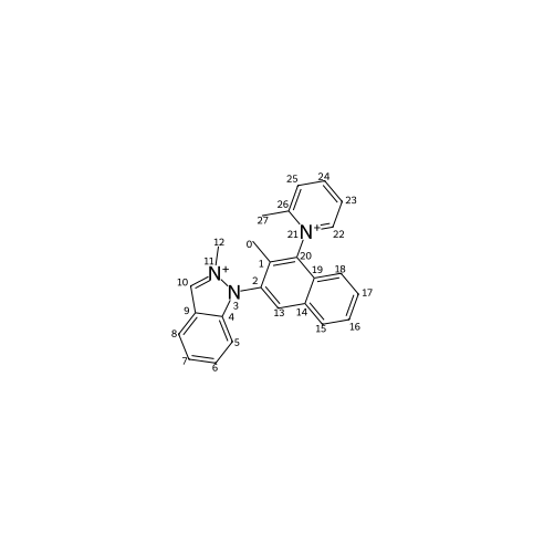 Cc1c(-n2c3ccccc3c[n+]2C)cc2ccccc2c1-[n+]1ccccc1C